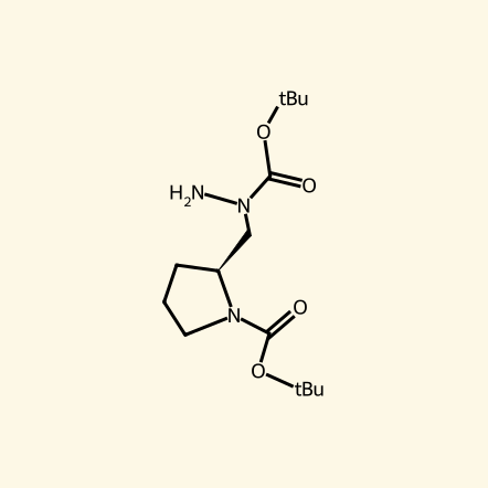 CC(C)(C)OC(=O)N(N)C[C@@H]1CCCN1C(=O)OC(C)(C)C